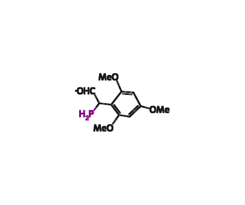 COc1cc(OC)c(C(P)[C]=O)c(OC)c1